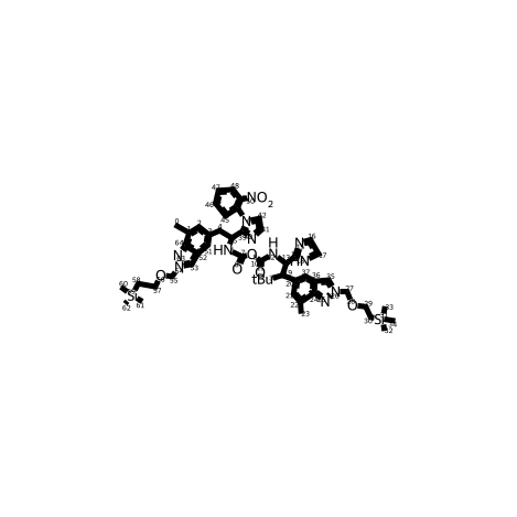 Cc1cc(CC(NC(=O)OC(=O)NC(c2ncc[nH]2)C(c2cc(C)c3nn(COCC[Si](C)(C)C)cc3c2)C(C)(C)C)c2nccn2-c2ccccc2[N+](=O)[O-])cc2cn(COCC[Si](C)(C)C)nc12